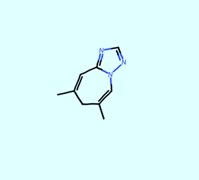 CC1=Cc2ncnn2C=C(C)C1